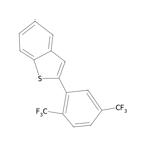 FC(F)(F)c1ccc(C(F)(F)F)c(-c2cc3c[c]ccc3s2)c1